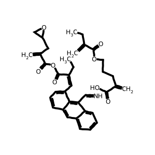 C=C(CC1CO1)C(=O)OC(=O)C(=Cc1cccc2cc3ccccc3c(C=N)c12)CC.C=C(CCCOC(=O)C(=C)CC)C(=O)O